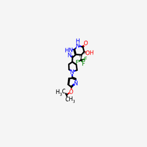 CC(C)Oc1ccc(N2CCC(c3n[nH]c4c3[C@H](C(F)(F)F)[C@H](O)C(=O)N4)CC2)cn1